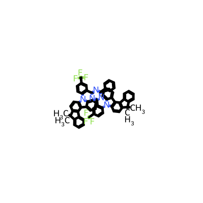 CC1(C)c2ccccc2-c2c1ccc1c2c2ccccc2n1-c1ccc(C(F)(F)F)cc1-c1nc(-c2ccccc2)nc(-c2cc(C(F)(F)F)ccc2-n2c3ccccc3c3c4c(ccc32)C(C)(C)c2ccccc2-4)n1